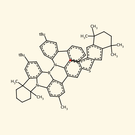 Cc1cc2c3c(c1)N1c4c(cc(C(C)(C)C)cc4C4(C)CCCCC14C)B3N(c1ccc(C(C)(C)C)cc1-c1ccccc1)c1cc3c(cc1-2)sc1cc2c(cc13)C(C)(C)CCC2(C)C